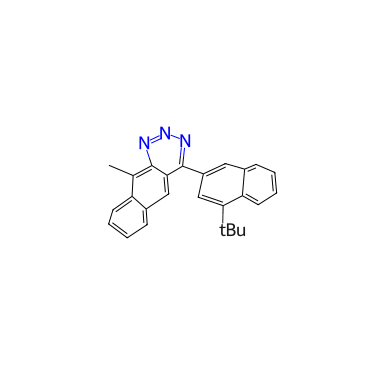 Cc1c2ccccc2cc2c(-c3cc(C(C)(C)C)c4ccccc4c3)nnnc12